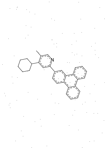 Cc1cnc(-c2ccc3c4ccccc4c4ccccc4c3c2)cc1C1CCCCC1